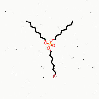 CCCCCCCCOP(=O)(OCCCCCCCC)OCCCCCCCBr